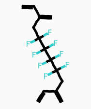 C=CC(=C)CC(F)(F)C(F)(F)C(F)(F)C(F)(F)CC(=C)C=C